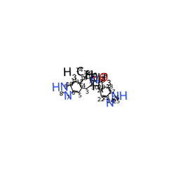 C[C@@H]1[C@H]2Cc3cc4nc[nH]c4cc3[C@]1(C)CCN2C(=O)c1ccc2nc[nH]c2c1